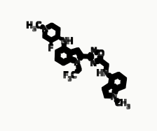 CN1CC[C@@H](Nc2cccc3c2cc(-c2noc(CNc4cccc5c4ccn5C)n2)n3CC(F)(F)F)[C@@H](F)C1